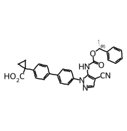 C[C@@H](OC(=O)Nc1c(C#N)cnn1-c1ccc(-c2ccc(C3(C(=O)O)CC3)cc2)cc1)c1ccccc1